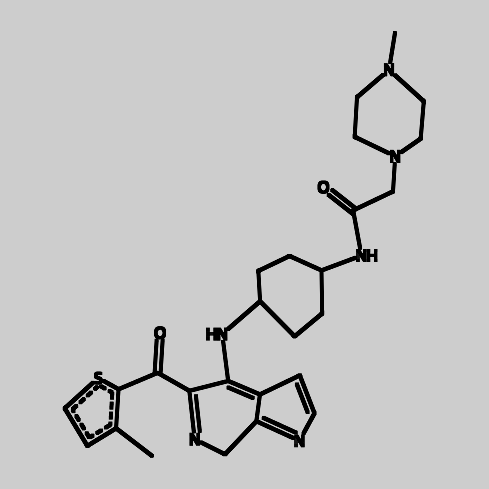 Cc1ccsc1C(=O)C1=NCC2=NC=CC2=C1NC1CCC(NC(=O)CN2CCN(C)CC2)CC1